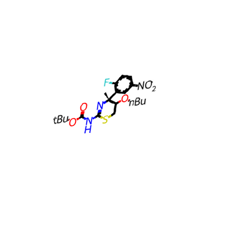 CCCCOC1CSC(NC(=O)OC(C)(C)C)=N[C@]1(C)c1cc([N+](=O)[O-])ccc1F